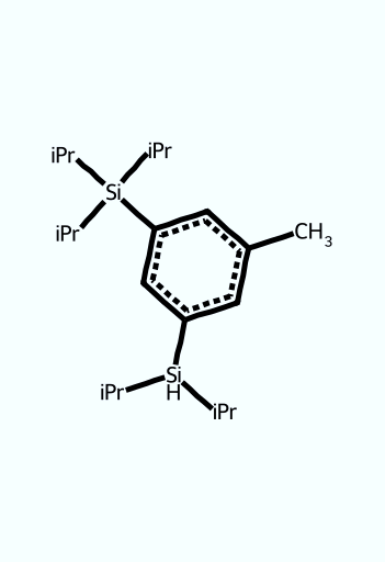 Cc1cc([SiH](C(C)C)C(C)C)cc([Si](C(C)C)(C(C)C)C(C)C)c1